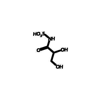 O=C(NS(=O)(=O)O)C(O)CO